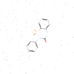 O=C1Nc2ccccc2S(=O)(=O)N1c1ccc(F)cc1